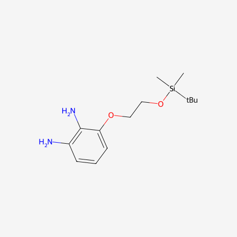 CC(C)(C)[Si](C)(C)OCCOc1cccc(N)c1N